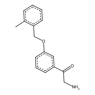 Cc1ccccc1COc1cccc(C(=O)CN)c1